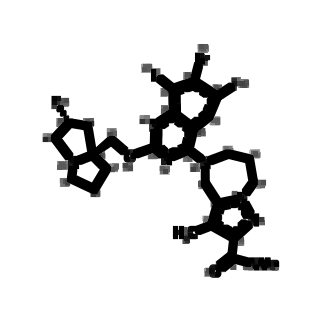 CNC(=O)c1nn2c(c1C)CN(c1nc(OC[C@@]34CCCN3C[C@H](F)C4)nc3c(F)c(Br)c(F)cc13)CCC2